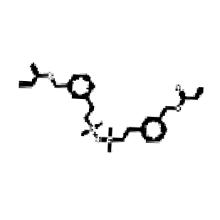 C=CC(=C)OCc1cccc(CC[Si](C)(C)O[Si](C)(C)CCc2cccc(COC(=O)C=C)c2)c1